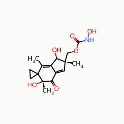 CC1=C2C(=C[C@@](C)(COC(=O)NO)[C@@H]2O)C(=O)[C@](C)(O)C12CC2